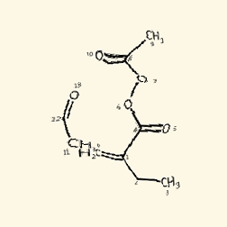 C=C(CC)C(=O)OOC(C)=O.CC=O